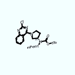 CCCCCN(C(=O)OC(C)(C)C)[C@H]1CCN(c2nc(Cl)nc3ccccc23)C1